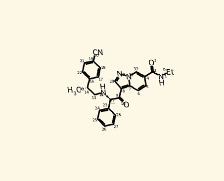 CCNC(=O)c1ccc2c(C(=O)[C@H](NC[C@H](C)c3ccc(C#N)cc3)c3ccccc3)cnn2c1